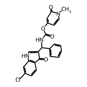 Cn1ccc(OC(=O)NC(c2ccccc2)c2c[nH]c3cc(Cl)ccc3c2=O)cc1=O